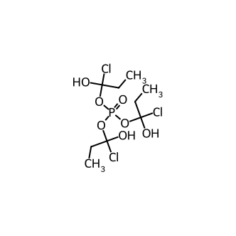 CCC(O)(Cl)OP(=O)(OC(O)(Cl)CC)OC(O)(Cl)CC